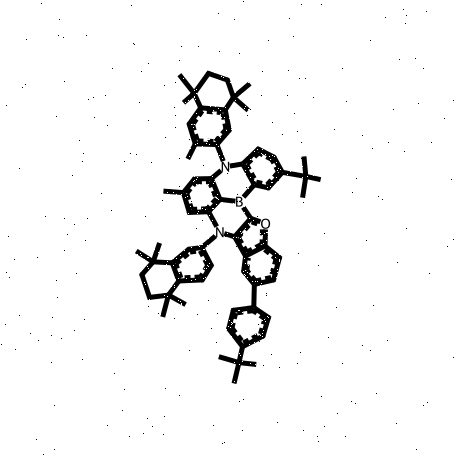 Cc1cc2c3c(c1)N(c1ccc4c(c1)C(C)(C)CCC4(C)C)c1c(oc4ccc(-c5ccc(C(C)(C)C)cc5)cc14)B3c1cc(C(C)(C)C)ccc1N2c1cc2c(cc1C)C(C)(C)CCC2(C)C